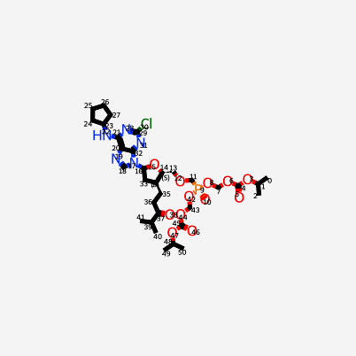 CC(C)OC(=O)OCOP(=O)(COC[C@H]1OC(n2cnc3c(NC4CCCC4)nc(Cl)nc32)C[C@@H]1CCC(=O)C(C)C)OCOC(=O)OC(C)C